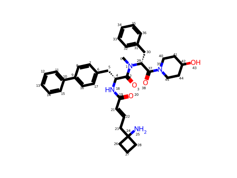 CN(C(=O)[C@@H](Cc1ccc(-c2ccccc2)cc1)NC(=O)/C=C/CC1(N)CCC1)[C@H](Cc1ccccc1)C(=O)N1CCC(O)CC1